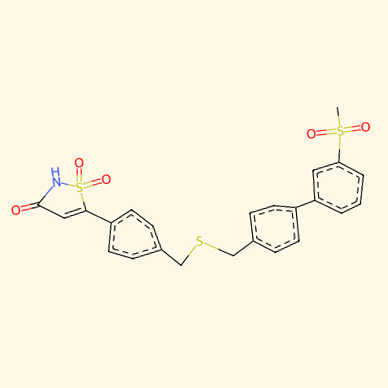 CS(=O)(=O)c1cccc(-c2ccc(CSCc3ccc(C4=CC(=O)NS4(=O)=O)cc3)cc2)c1